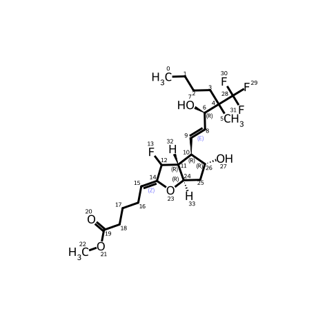 CCCCC(C)([C@H](O)/C=C/[C@@H]1[C@H]2C(F)/C(=C/CCCC(=O)OC)O[C@@H]2C[C@H]1O)C(F)(F)F